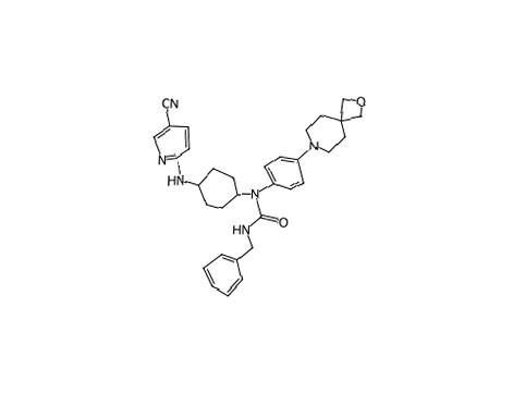 N#Cc1ccc(NC2CCC(N(C(=O)NCc3ccccc3)c3ccc(N4CCC5(CC4)COC5)cc3)CC2)nc1